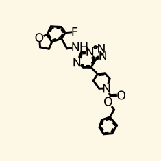 O=C(OCc1ccccc1)N1CC=C(c2cnc(NCc3c(F)ccc4c3CCO4)n3cnnc23)CC1